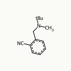 CN(Cc1ccccc1C#N)C(C)(C)C